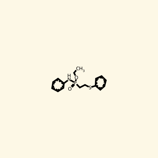 CCOP(=O)(CCSc1ccccc1)Nc1ccccc1